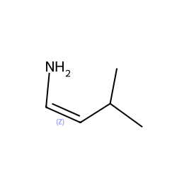 CC(C)/C=C\N